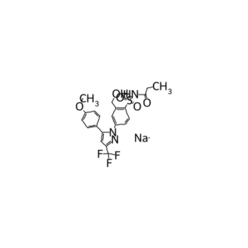 CCC(=O)NS(=O)(=O)c1ccc(-n2nc(C(F)(F)F)cc2-c2ccc(OC)cc2)cc1CO.[Na]